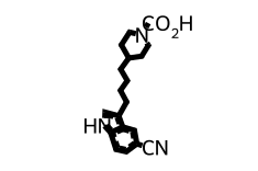 N#Cc1ccc2[nH]cc(CCCCC3CCN(C(=O)O)CC3)c2c1